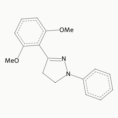 COc1cccc(OC)c1C1=NN(c2ccccc2)CC1